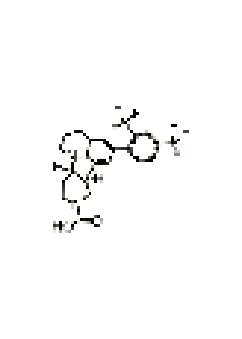 O=C(O)N1CC[C@H]2[C@@H](C1)C1=CC(c3ccc(C(F)(F)F)cc3C(F)(F)F)=CC3CCCN2C13